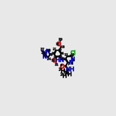 [2H]C([2H])([2H])NC(=O)c1nnc(Cl)cc1Nc1cc(COC)cc(-c2cnn(C)n2)c1OC